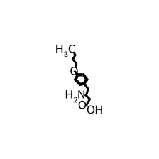 CCCCOc1ccc(C[C@H](N)CC(=O)O)cc1